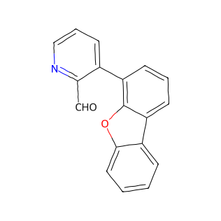 O=Cc1ncccc1-c1cccc2c1oc1ccccc12